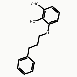 O=Cc1cccc(OCCCc2ccccc2)c1O